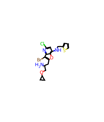 N[C@@H](COC1CC1)Cc1oc2c(NCc3cccs3)cc(Cl)nc2c1Br